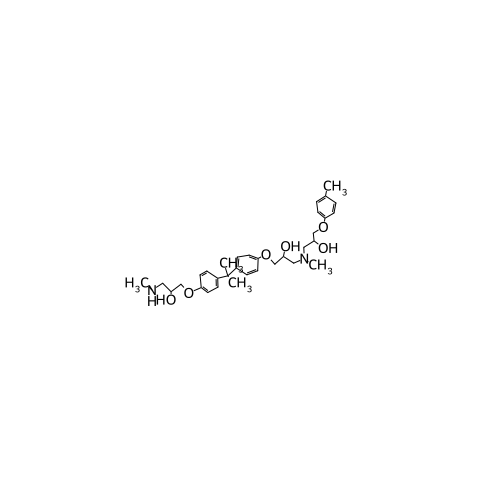 CNCC(O)COc1ccc(C(C)(C)c2ccc(OCC(O)CN(C)CC(O)COc3ccc(C)cc3)cc2)cc1